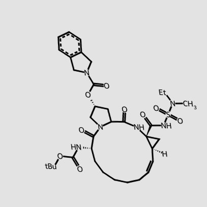 CCN(C)S(=O)(=O)NC(=O)[C@@]12C[C@H]1/C=C\CCCCC[C@H](NC(=O)OC(C)(C)C)C(=O)N1C[C@H](OC(=O)N3Cc4ccccc4C3)CC1C(=O)N2